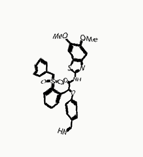 COc1cc2nc(NC(=O)C(Oc3ccc(C=N)cc3)c3ccccc3S(=O)(=O)Cc3ccccc3)sc2cc1OC